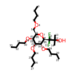 CCCCOC[C@H]1O[C@@H](C(F)(F)C(C)(C)O)[C@H](OCCCC)[C@@H](OCCCC)[C@H]1OCCCC